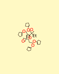 CCC1(C(CC(OC2=CCCC2)OC2=CCCC2)OC(CC(OC2=CCCC2)OC2=CCCC2)C2(CC)COC2)COC1